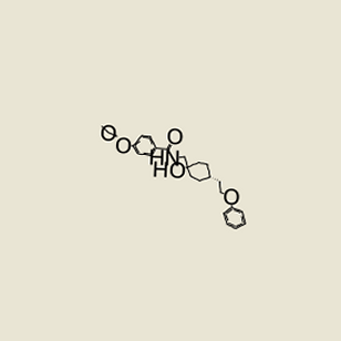 COCOc1ccc(C(=O)NC[C@]2(O)CC[C@H](CCOc3ccccc3)CC2)cc1